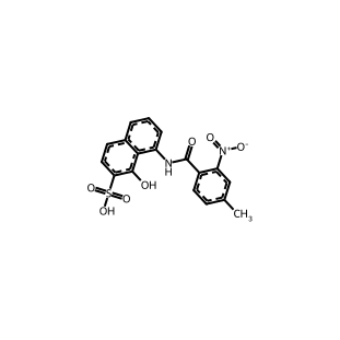 Cc1ccc(C(=O)Nc2cccc3ccc(S(=O)(=O)O)c(O)c23)c([N+](=O)[O-])c1